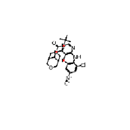 [C-]#[N+]c1cc(F)c(Nc2ncnc(OC3C4COCC3CN(C(=O)OC(C)(C)C)C4)c2C)c(Cl)c1